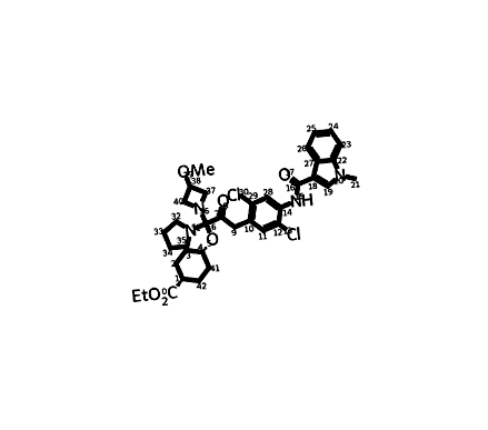 CCOC(=O)[C@H]1CC[C@H](OC(C(=O)Cc2cc(Cl)c(NC(=O)c3cn(C)c4ccccc34)cc2Cl)(N2CCCC2)N2CC(OC)C2)CC1